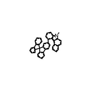 Cn1c2cccc(-c3ccc4c(c3)C3(c5ccccc5-c5ccccc53)c3ccccc3-4)c2c2c3ccccc3ccc21